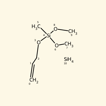 C=CCO[Si](C)(OC)OC.[SiH4]